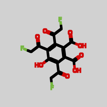 O=C(CF)c1c(O)c(C(=O)CF)c(C(=O)CF)c(C(=O)O)c1C(=O)O